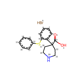 Br.O=C(O)C1(c2ccccc2Sc2ccccc2)CCNCC1